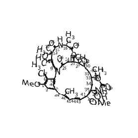 COc1cc2cc(c1Cl)N1CC(C)C(C)(O)C(=O)N[C@@H](C)C(=O)O[C@@H](CC1=O)[C@]1(C)OC1[C@H](C)[C@@H]1C[C@@](O)(NC(=O)O1)[C@H](OC)/C=C/C=C(\C)C2